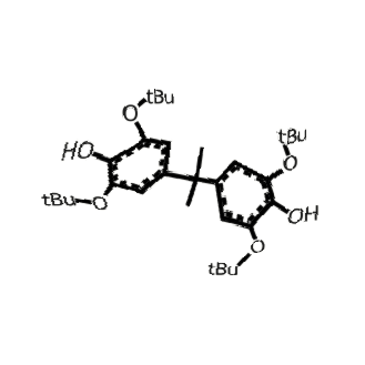 CC(C)(C)Oc1cc(C(C)(C)c2cc(OC(C)(C)C)c(O)c(OC(C)(C)C)c2)cc(OC(C)(C)C)c1O